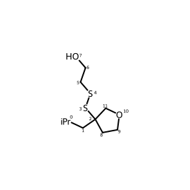 CC(C)CC1(SSCCO)CCOC1